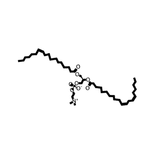 CCCCC/C=C\C/C=C\CCCCCCCCCC(=O)O[C@H](COC(=O)CCCCCCCCC/C=C\CCCCCC)COP(=O)([O-])OCC[N+](C)(C)C